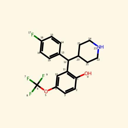 Oc1ccc(OC(F)(F)F)cc1C(c1ccc(F)cc1)C1CCNCC1